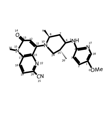 COc1ccc(NC2C[C@H](C)N(c3cc(=O)n(C)c4ccc(C#N)nc34)C[C@H]2C)nc1